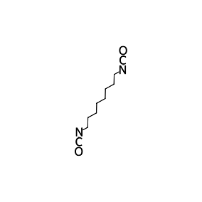 O=C=NCCCCCCCCN=C=O